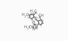 C#Cc1cccc(-n2nnn(C)c2=O)c1COc1ccc(C)cc1CC